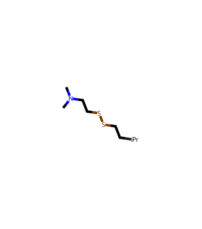 CC(C)CCSSCCN(C)C